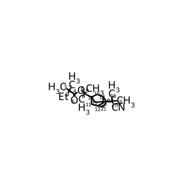 CCC(C)(C)C(=O)OC(C)(C)C12CC3CC(C1)C(C(C)(C)C#N)(C3)C2